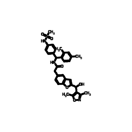 Cc1ccc(C(NC(=O)Cc2ccc3oc(C(O)c4c(C)noc4C)cc3c2)c2ccc(NS(C)(=O)=O)cc2)c(C)c1